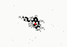 Cc1nc([C@@H](C)c2cc(Cl)c(F)c(C(=O)NCC3CCN(C)CC3)c2OC(C)C)n2ccnc(N)c12